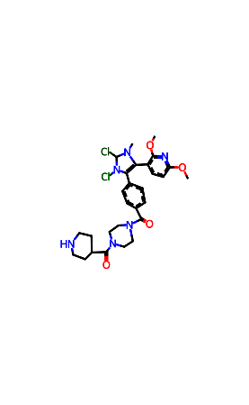 COc1ccc(C2=C(c3ccc(C(=O)N4CCN(C(=O)C5CCNCC5)CC4)cc3)N(Cl)C(Cl)N2C)c(OC)n1